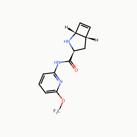 O=C(Nc1cccc(OC(F)(F)F)n1)[C@@H]1C[C@H]2C=C[C@H]2N1